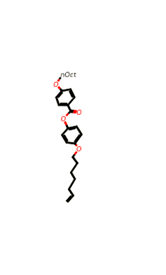 C=CCCCCCOc1ccc(OC(=O)c2ccc(OCCCCCCCC)cc2)cc1